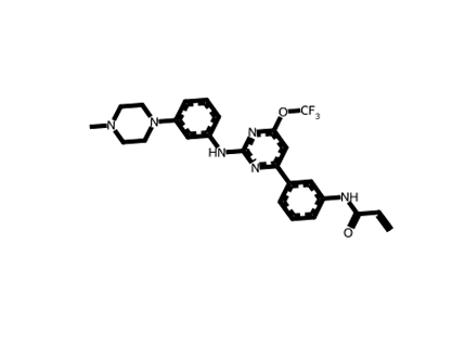 C=CC(=O)Nc1cccc(-c2cc(OC(F)(F)F)nc(Nc3cccc(N4CCN(C)CC4)c3)n2)c1